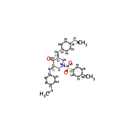 CCc1ccc(/C=C2\CN(S(=O)(=O)c3ccc(C)cc3)C/C(=C\c3ccc(CC)cc3)C2=O)cc1